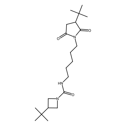 CC(C)(C)C1CN(C(=O)NCCCCCN2C(=O)CC(C(C)(C)C)C2=O)C1